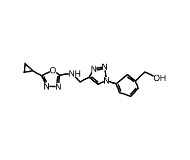 OCc1cccc(-n2cc(CNc3nnc(C4CC4)o3)nn2)c1